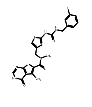 Cc1c(C(=O)N(C)Cc2csc(NC(=O)NCc3cccc(F)c3)n2)sc2nc[nH]c(=O)c12